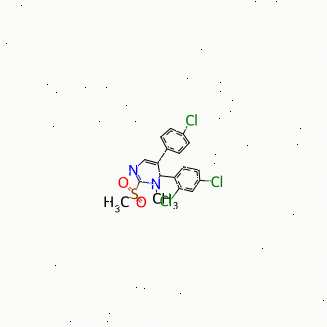 CN1C(S(C)(=O)=O)=NC=C(c2ccc(Cl)cc2)C1c1ccc(Cl)cc1Cl